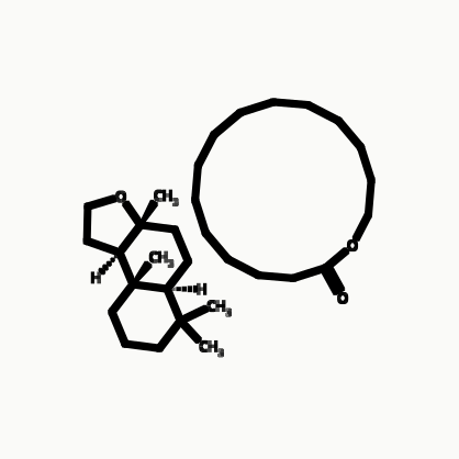 CC1(C)CCC[C@]2(C)[C@H]3CCO[C@]3(C)CC[C@@H]12.O=C1CCCCCCCCCCCCCCO1